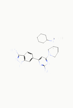 Nc1nc(-c2ccc3c(N)n[nH]c3c2)cc(N2CCC[C@@H](N(C(=O)O)C3CCCCC3)C2)n1